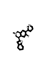 CN1Cc2cc(-c3cccnn3)c(F)cc2C(c2cc3ccccc3o2)C1